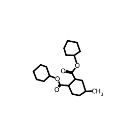 CC1CCC(C(=O)OC2CCCCC2)C(C(=O)OC2CCCCC2)C1